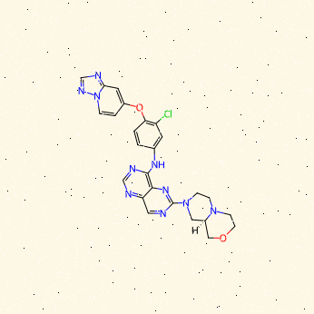 Clc1cc(Nc2ncnc3cnc(N4CCN5CCOC[C@H]5C4)nc23)ccc1Oc1ccn2ncnc2c1